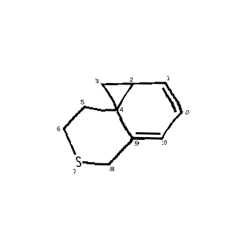 C1=CC2CC23CCSCC3=C1